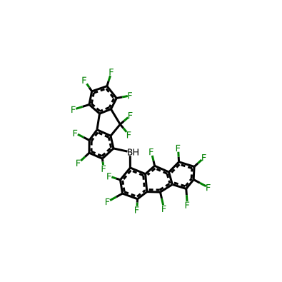 Fc1c(F)c(F)c2c(c1F)-c1c(F)c(F)c(F)c(Bc3c(F)c(F)c(F)c4c(F)c5c(F)c(F)c(F)c(F)c5c(F)c34)c1C2(F)F